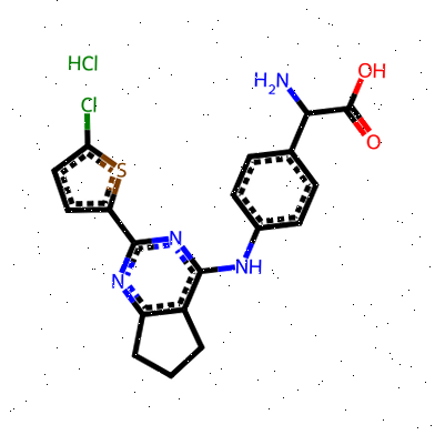 Cl.NC(C(=O)O)c1ccc(Nc2nc(-c3ccc(Cl)s3)nc3c2CCC3)cc1